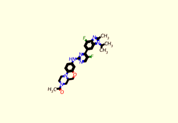 CC(=O)N1CCN2c3ccc(Nc4ncc(F)c(-c5cc(F)c6nc(C)n(C(C)C)c6c5)n4)cc3OCC2C1